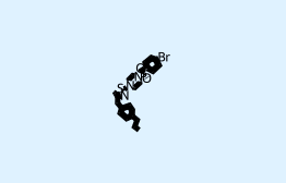 CCCc1ccc(Cc2csc(N3CCN(S(=O)(=O)c4ccc(Br)cc4)CC3)n2)cc1